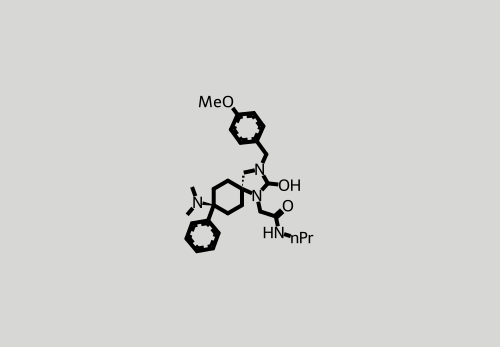 CCCNC(=O)CN1C(O)N(Cc2ccc(OC)cc2)C[C@]12CC[C@](c1ccccc1)(N(C)C)CC2